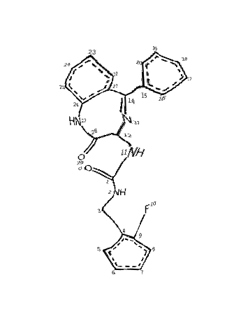 O=C(NCc1ccccc1F)NC1N=C(c2ccccc2)c2ccccc2NC1=O